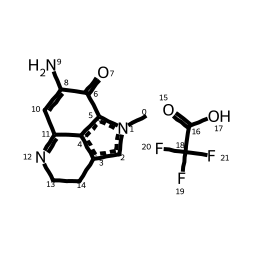 Cn1cc2c3c1C(=O)C(N)=CC3=NCC2.O=C(O)C(F)(F)F